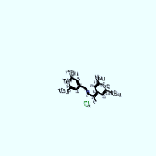 CC(/C=C/c1cc(C(C)(C)C)[te+]c(C(C)(C)C)c1)=C1C=C(C(C)(C)C)[Se]C(C(C)(C)C)=C1.[Cl-]